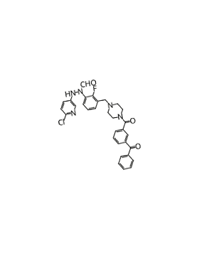 O=CN(Nc1ccc(Cl)nc1)c1cccc(CN2CCN(C(=O)c3cccc(C(=O)c4ccccc4)c3)CC2)c1F